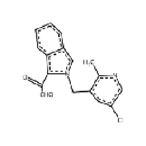 Cc1ncc(Cl)cc1Cn1cc2ccccc2c1C(=O)C=O